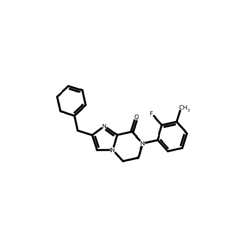 Cc1cccc(N2CCn3cc(CC4=CC=CCC4)nc3C2=O)c1F